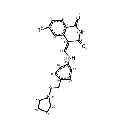 O=C1NC(=O)c2ccc(Br)cc2/C1=C/Nc1ccc(CCN2CCCC2)cc1